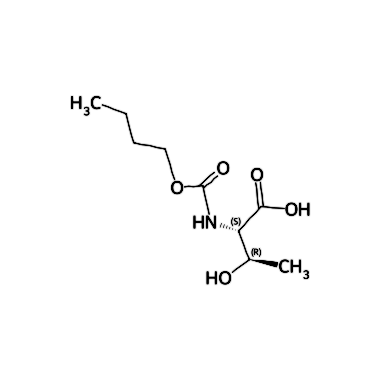 CCCCOC(=O)N[C@H](C(=O)O)[C@@H](C)O